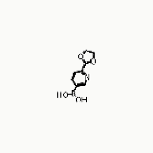 OB(O)c1ccc(C2OCCO2)nc1